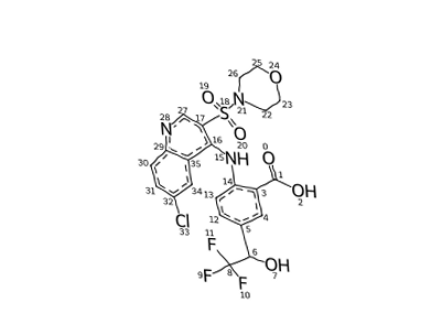 O=C(O)c1cc(C(O)C(F)(F)F)ccc1Nc1c(S(=O)(=O)N2CCOCC2)cnc2ccc(Cl)cc12